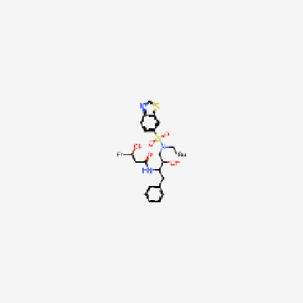 CCC(C)CN(CC(O)C(Cc1ccccc1)NC(=O)CC(O)CC)S(=O)(=O)c1ccc2ncsc2c1